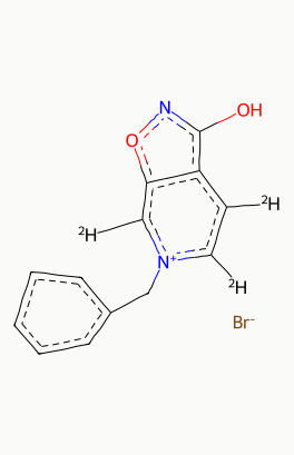 [2H]c1c([2H])[n+](Cc2ccccc2)c([2H])c2onc(O)c12.[Br-]